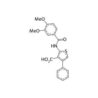 COc1ccc(C(=O)Nc2scc(-c3ccccc3)c2C(=O)O)cc1OC